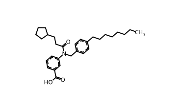 CCCCCCCCc1ccc(CN(C(=O)CCC2CCCC2)c2cccc(C(=O)O)c2)cc1